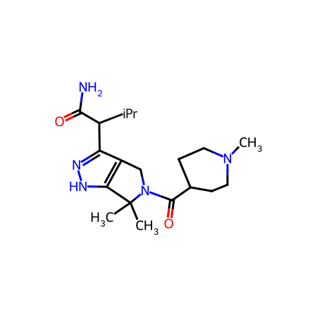 CC(C)C(C(N)=O)c1n[nH]c2c1CN(C(=O)C1CCN(C)CC1)C2(C)C